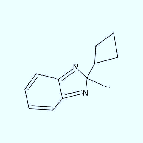 [CH2]C1(C2CCC2)N=c2ccccc2=N1